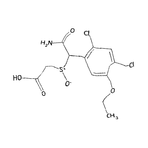 CCOc1cc(C(C(N)=O)[S+]([O-])CC(=O)O)c(Cl)cc1Cl